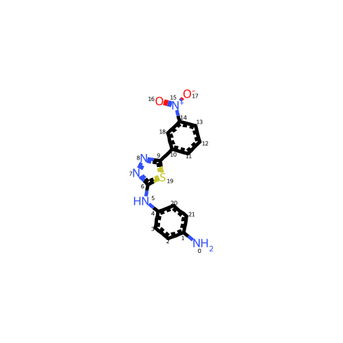 Nc1ccc(Nc2nnc(-c3cccc([N+](=O)[O-])c3)s2)cc1